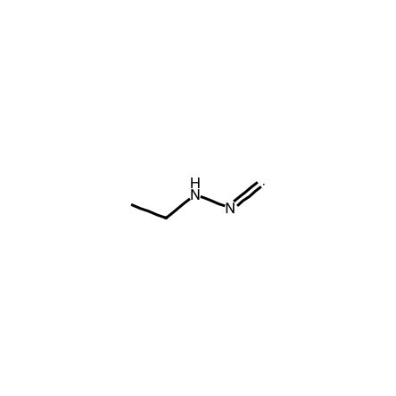 [CH]=NNCC